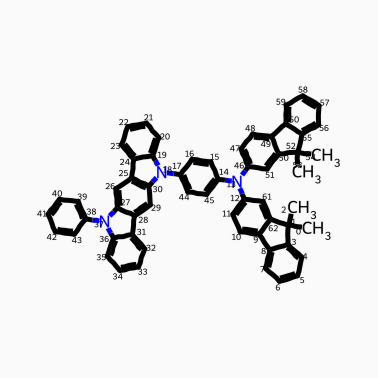 CC1(C)c2ccccc2-c2ccc(N(c3ccc(-n4c5ccccc5c5cc6c(cc54)c4ccccc4n6-c4ccccc4)cc3)c3ccc4c(c3)C(C)(C)c3ccccc3-4)cc21